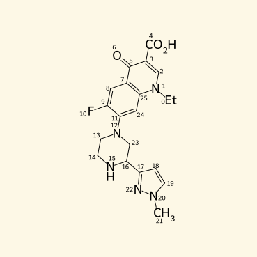 CCn1cc(C(=O)O)c(=O)c2cc(F)c(N3CCNC(c4ccn(C)n4)C3)cc21